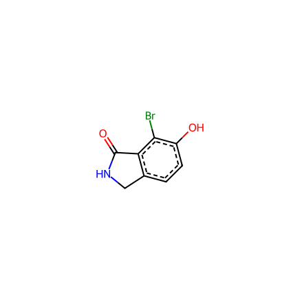 O=C1NCc2ccc(O)c(Br)c21